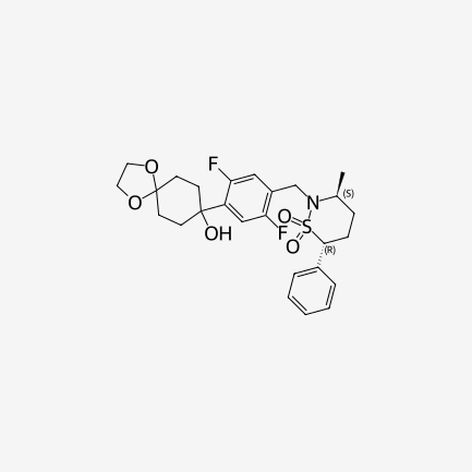 C[C@H]1CC[C@H](c2ccccc2)S(=O)(=O)N1Cc1cc(F)c(C2(O)CCC3(CC2)OCCO3)cc1F